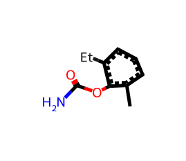 CCc1cccc(C)c1OC(N)=O